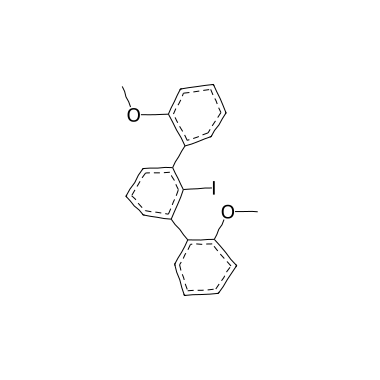 COc1ccccc1-c1cccc(-c2ccccc2OC)c1I